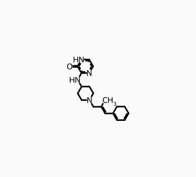 C/C(=C\C1=CC=CCC1)CN1CCC(Nc2ncc[nH]c2=O)CC1